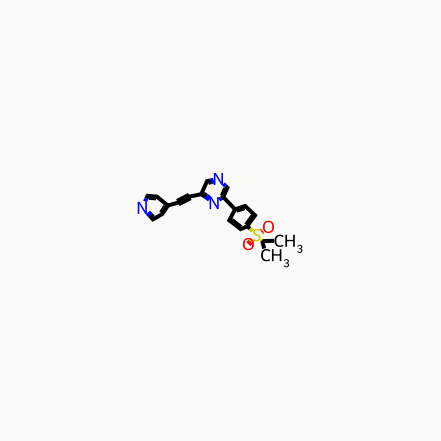 CC(C)S(=O)(=O)c1ccc(-c2cncc(C#Cc3ccncc3)n2)cc1